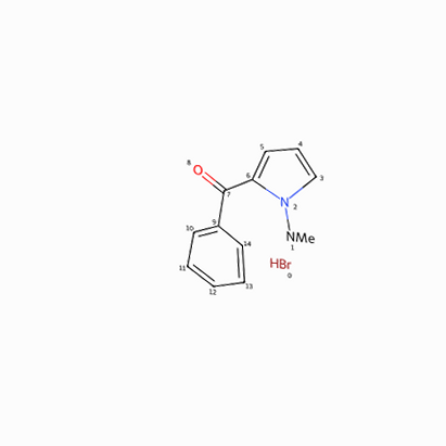 Br.CNn1cccc1C(=O)c1ccccc1